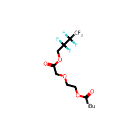 CCC(C)C(=O)OCCOCC(=O)OCC(F)(F)C(F)(F)C(F)(F)F